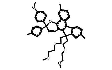 COCCOCCC1(CCOCCOC)c2cc(C)ccc2-c2c1c1c(c3cc(C)ccc23)OC(c2ccc(C)cc2)(c2ccc(OC)cc2)C=C1